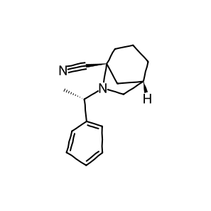 C[C@@H](c1ccccc1)N1C[C@H]2CCC[C@]1(C#N)C2